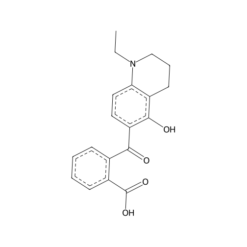 CCN1CCCc2c1ccc(C(=O)c1ccccc1C(=O)O)c2O